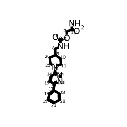 NC(=O)COC(=O)NCC1CCN(c2ccc(-c3ccccc3)nn2)CC1